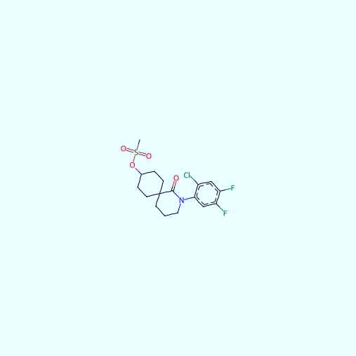 CS(=O)(=O)OC1CCC2(CCCN(c3cc(F)c(F)cc3Cl)C2=O)CC1